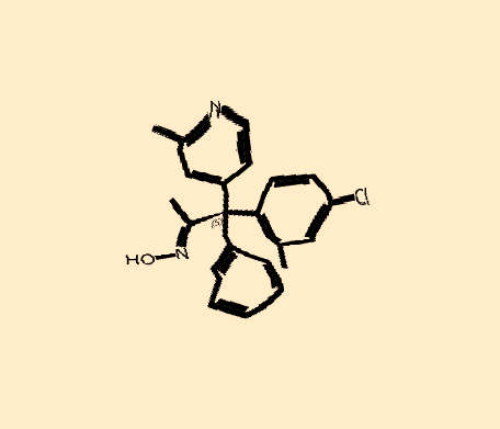 CC(=NO)[C@@](c1ccccc1)(c1ccnc(C)c1)c1ccc(Cl)cc1C